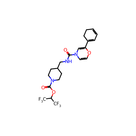 O=C(NCC1CCN(C(=O)OC(C(F)(F)F)C(F)(F)F)CC1)N1C=COC(C2=CC=CCC2)=C1